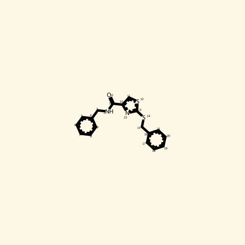 O=C(NCc1ccccc1)c1[c]sc(SCc2ccccc2)n1